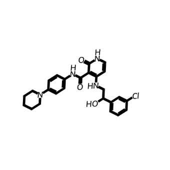 O=C(Nc1ccc(N2CCCCC2)cc1)c1c(NCC(O)c2cccc(Cl)c2)cc[nH]c1=O